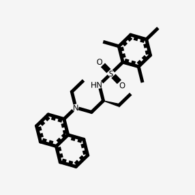 CC[C@@H](CN(CC)c1cccc2ccccc12)NS(=O)(=O)c1c(C)cc(C)cc1C